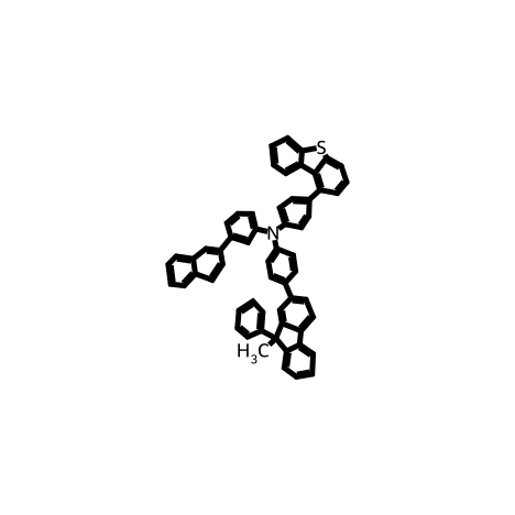 CC1(c2ccccc2)c2ccccc2-c2ccc(-c3ccc(N(c4ccc(-c5cccc6sc7ccccc7c56)cc4)c4cccc(-c5ccc6ccccc6c5)c4)cc3)cc21